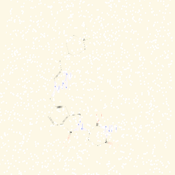 O=C1CCC(N2Cc3cc(Cn4cc(CC5CCC(F)(F)CC5)nn4)ccc3C2=O)C(=O)N1